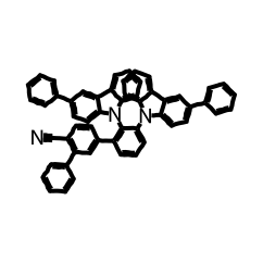 N#Cc1ccc(-c2cccc(-n3c4ccccc4c4cc(-c5ccccc5)ccc43)c2-n2c3ccccc3c3cc(-c4ccccc4)ccc32)cc1-c1ccccc1